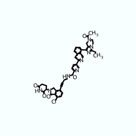 CCc1nc(-c2cccc3cc(-c4ccc(C(=O)NCCC#Cc5ccc(Cl)c6c5CN(C5CCC(=O)NC5=O)C6=O)nc4)ncc23)c2n1CCN(C(C)=O)C2